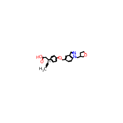 CC#C[C@@H](CC(=O)O)c1ccc(OCc2ccc3c(cnn3CC3CCOC3)c2)cc1